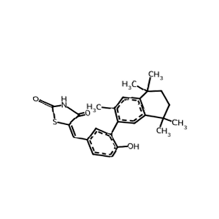 Cc1cc2c(cc1-c1cc(C=C3SC(=O)NC3=O)ccc1O)C(C)(C)CCC2(C)C